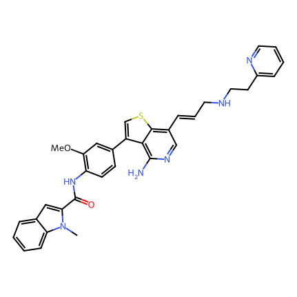 COc1cc(-c2csc3c(C=CCNCCc4ccccn4)cnc(N)c23)ccc1NC(=O)c1cc2ccccc2n1C